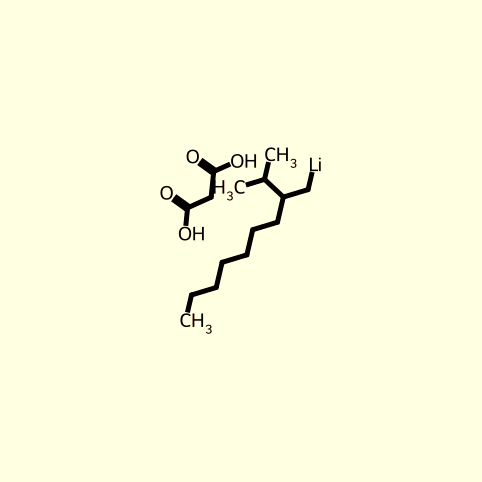 O=C(O)CC(=O)O.[Li][CH2]C(CCCCCCC)C(C)C